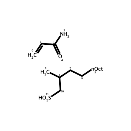 C=CC(N)=O.CCCCCCCCCCC(C)CS(=O)(=O)O